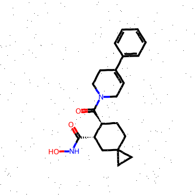 O=C(NO)[C@H]1CC2(CC[C@@H]1C(=O)N1CC=C(c3ccccc3)CC1)CC2